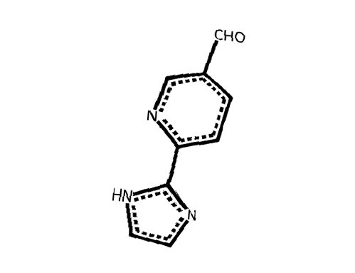 O=Cc1ccc(-c2ncc[nH]2)nc1